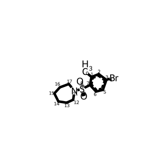 Cc1cc(Br)ccc1S(=O)(=O)N1CCCCCC1